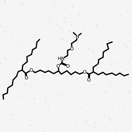 CCCCCCCCC(CCCCCCCC)C(=O)OCCCCCC(CCCCCOC(=O)C(CCCCCCCC)CCCCCCCC)OC(=O)NCCOCCN(C)C